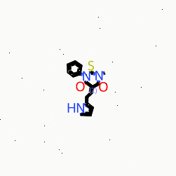 CN1C(=O)/C(=C/Cc2ccc[nH]2)C(=O)N(c2ccccc2)C1=S